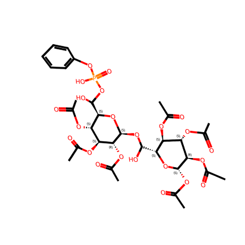 CC(=O)O[C@@H]1O[C@H](C(O)O[C@@H]2O[C@H](C(O)OP(=O)(O)Oc3ccccc3)[C@@H](OC(C)=O)[C@H](OC(C)=O)[C@H]2OC(C)=O)[C@@H](OC(C)=O)[C@H](OC(C)=O)[C@H]1OC(C)=O